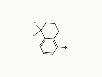 FC1(F)CCCc2c(Br)cccc21